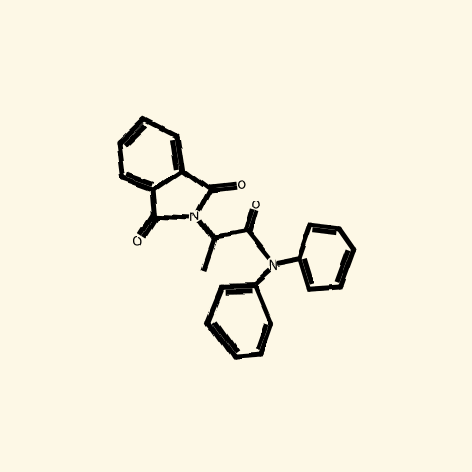 CC(C(=O)N(c1ccccc1)c1ccccc1)N1C(=O)c2ccccc2C1=O